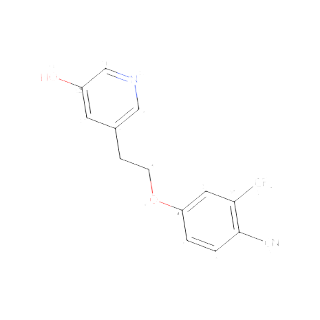 N#Cc1ccc(OCCc2cncc(O)c2)cc1C(F)(F)F